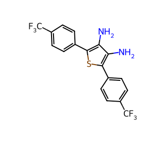 Nc1c(-c2ccc(C(F)(F)F)cc2)sc(-c2ccc(C(F)(F)F)cc2)c1N